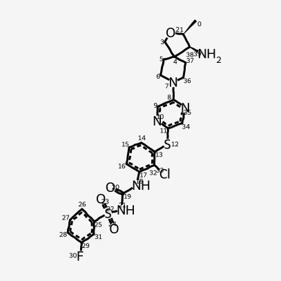 C[C@@H]1OCC2(CCN(c3cnc(Sc4cccc(NC(=O)NS(=O)(=O)c5cccc(F)c5)c4Cl)cn3)CC2)[C@@H]1N